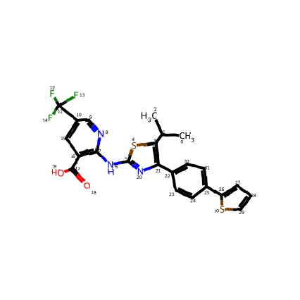 CC(C)c1sc(Nc2ncc(C(F)(F)F)cc2C(=O)O)nc1-c1ccc(-c2cccs2)cc1